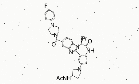 CC(=O)NC1CCN(c2ccc3c(c2)-c2nc4cc(C(=O)N5CCN(c6ccc(F)cc6)CC5)ccc4n2[C@@H](C(C)C)C(=O)N3)C1